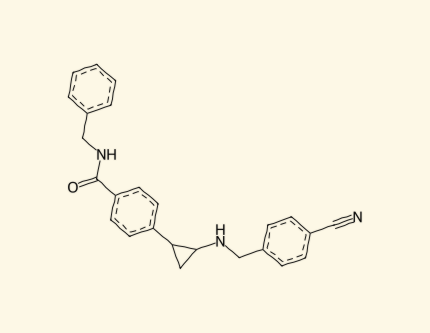 N#Cc1ccc(CNC2CC2c2ccc(C(=O)NCc3ccccc3)cc2)cc1